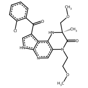 COCCN1C(=O)[C@](C)(COC)Nc2c1cnc1[nH]cc(C(=O)c3ccccc3Cl)c21